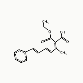 CCOC(=O)C(C(=O)O)=C(C)C=CC=Cc1ccccc1